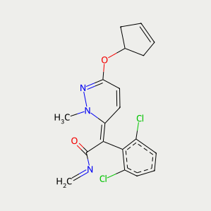 C=NC(=O)/C(=C1/C=CC(OC2CC=CC2)=NN1C)c1c(Cl)cccc1Cl